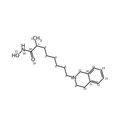 CC(CCCCCCN1CCc2ccccc2C1)C(=O)NO